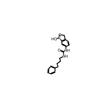 O=C(NCCCCc1ccccc1)Nc1ccc2c(c1)B(O)OC2